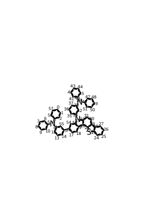 c1ccc(N(c2ccccc2)c2cccc(-c3ccc4c5c6sc7ccccc7c6ccc5n(-c5cccc(N(c6ccccc6)c6ccccc6)c5)c4c3)c2)cc1